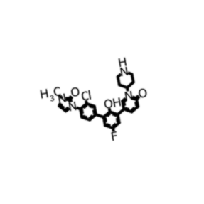 Cn1ccn(-c2ccc(-c3cc(F)cc(-c4ccc(=O)n(C5CCNCC5)c4)c3O)cc2Cl)c1=O